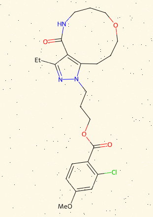 CCc1nn(CCCOC(=O)c2ccc(OC)cc2Cl)c2c1C(=O)NCCCOCCC2